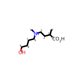 CC(CCN(C)CCCCO)C(=O)O